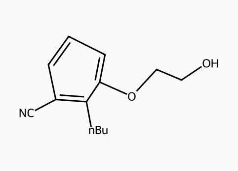 CCCCc1c(C#N)cccc1OCCO